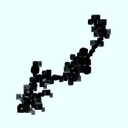 CCCC(=O)OCN(C(=O)[C@@H](NC(=O)[C@H]1CCCCN1C)C(C)CC)[C@H](CCc1nc(C(=O)N[C@@H](Cc2ccc(O)cc2)C[C@H](C)C(=O)NNC(=O)OCCSSC[C@H](NC(=O)[C@H](CC(=O)O)NC(=O)[C@@H](N)CNC(=O)[C@H](Cc2ccccc2)NC(=O)[C@H](Cc2ccccc2)NC(=O)CCCCCCCNC(=O)CC[C@H](NC(=O)N[C@@H](CCC(=O)O)C(=O)O)C(=O)O)C(=O)O)cs1)C(C)C